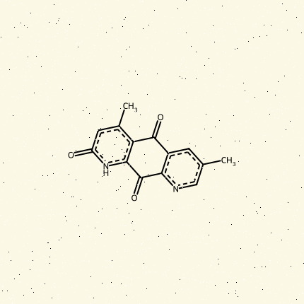 Cc1cnc2c(c1)C(=O)c1c(C)cc(=O)[nH]c1C2=O